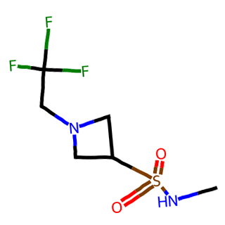 CNS(=O)(=O)C1CN(CC(F)(F)F)C1